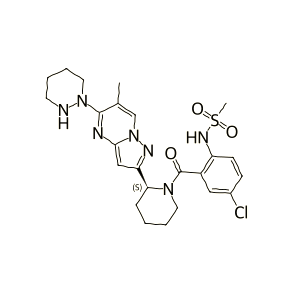 Cc1cn2nc([C@@H]3CCCCN3C(=O)c3cc(Cl)ccc3NS(C)(=O)=O)cc2nc1N1CCCCN1